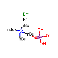 CCCC[N+](CCCC)(CCCC)CCCC.O=P([O-])(O)O.[Br-].[K+]